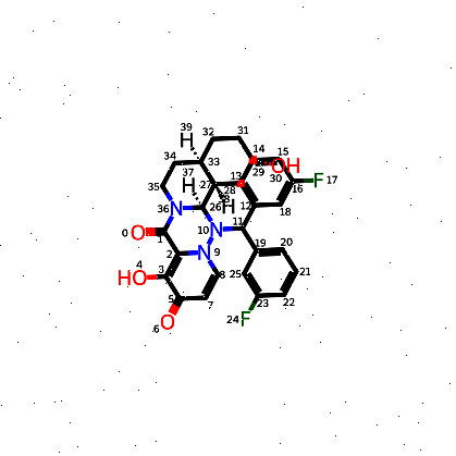 O=C1c2c(O)c(=O)ccn2N(C(c2cccc(F)c2)c2cccc(F)c2)[C@@H]2[C@H]3C[C@@H](O)CC[C@@H]3CCN12